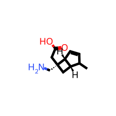 CC1C=C[C@@H]2[C@H]1C[C@@]2(CN)CC(=O)O